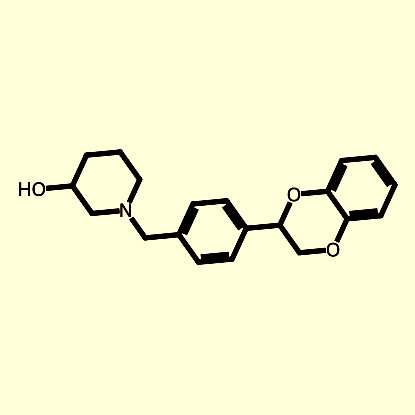 OC1CCCN(Cc2ccc(C3COc4ccccc4O3)cc2)C1